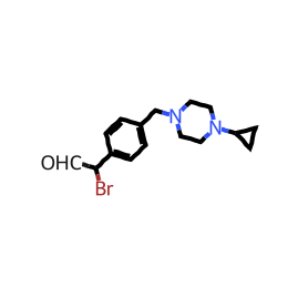 O=CC(Br)c1ccc(CN2CCN(C3CC3)CC2)cc1